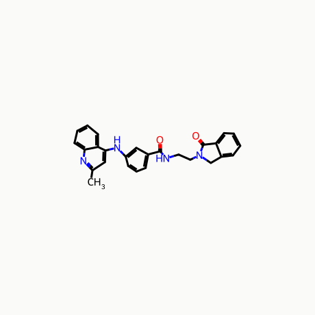 Cc1cc(Nc2cccc(C(=O)NCCN3Cc4ccccc4C3=O)c2)c2ccccc2n1